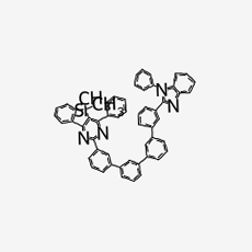 C[Si]1(C)c2ccccc2-c2nc(-c3cccc(-c4cccc(-c5cccc(-c6cccc(-c7nc8ccccc8n7-c7ccccc7)c6)c5)c4)c3)nc(-c3ccccc3)c21